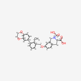 Cc1c(COc2ccc3c(c2)CN(C(=O)O)[C@@H](C(=O)O)C3)cccc1-c1ccc2c(c1)OCCO2